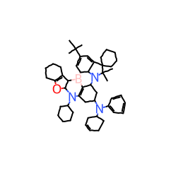 CC(C)(C)C1=CC2B3C4=C(CC(N(c5ccccc5)C5CC=CCC5)CC4N4C2C(=C1)C1(CCCCC1)C4(C)C)N(C1CCCCC1)C1OC2=C(CCCC2)C31